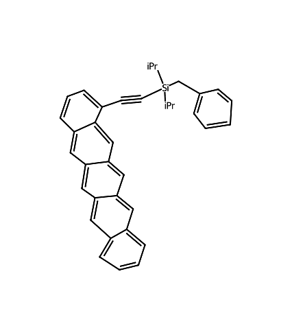 CC(C)[Si](C#Cc1cccc2cc3cc4cc5ccccc5cc4cc3cc12)(Cc1ccccc1)C(C)C